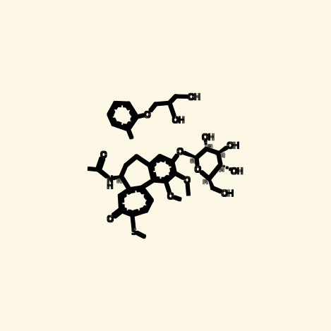 COc1c(O[C@@H]2O[C@H](CO)[C@@H](O)[C@H](O)[C@H]2O)cc2c(c1OC)-c1ccc(SC)c(=O)cc1[C@@H](NC(C)=O)CC2.Cc1ccccc1OCC(O)CO